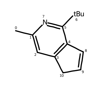 Cc1cc2c(c(C(C)(C)C)n1)C=CC2